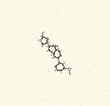 COc1cncc(-c2ccc3[nH]c(-c4csc(C)n4)cc3c2)c1